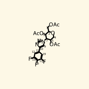 CC(=O)OCC1OCC(OC(C)=O)C(n2cc(-c3cc(F)c(F)c(F)c3)nn2)[C@H]1OC(C)=O